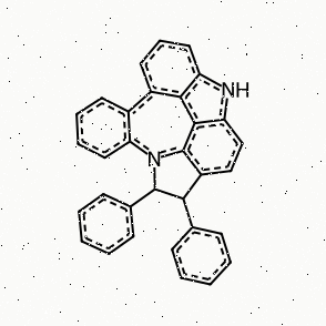 c1ccc(C2c3ccc4[nH]c5cccc6c7ccccc7n(c3c4c56)C2c2ccccc2)cc1